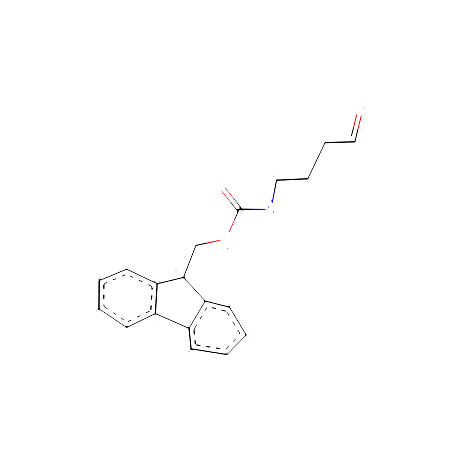 O=[C]CCCNC(=O)OCC1c2ccccc2-c2ccccc21